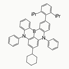 CC(C)c1cccc(C(C)C)c1-c1ccc2c(c1)B1c3ccccc3N(c3ccccc3)c3cc(C4CCCCC4)cc(c31)N2c1ccccc1